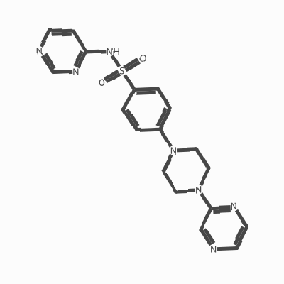 O=S(=O)(Nc1ccncn1)c1ccc(N2CCN(c3cnccn3)CC2)cc1